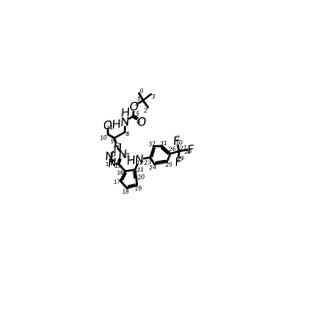 CC(C)(C)OC(=O)NCC(CO)n1nnc(-c2ccccc2Nc2ccc(C(F)(F)F)cc2)n1